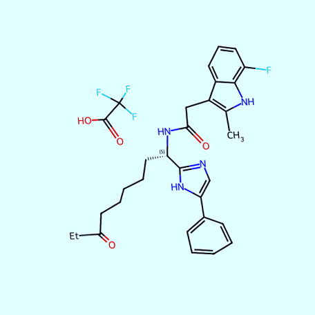 CCC(=O)CCCCC[C@H](NC(=O)Cc1c(C)[nH]c2c(F)cccc12)c1ncc(-c2ccccc2)[nH]1.O=C(O)C(F)(F)F